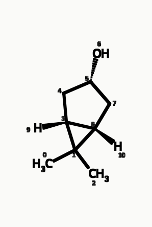 CC1(C)[C@@H]2C[C@H](O)C[C@@H]21